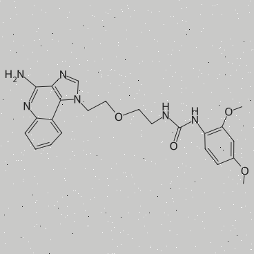 COc1ccc(NC(=O)NCCOCCn2cnc3c(N)nc4ccccc4c32)c(OC)c1